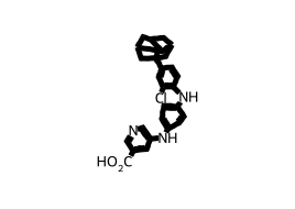 O=C(O)c1cncc(Nc2ccc(Nc3ccc(C45CC6CC(CC(C6)C4)C5)cc3Cl)cc2)c1